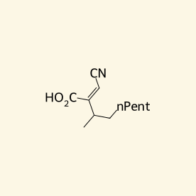 CCCCCCC(C)C(=CC#N)C(=O)O